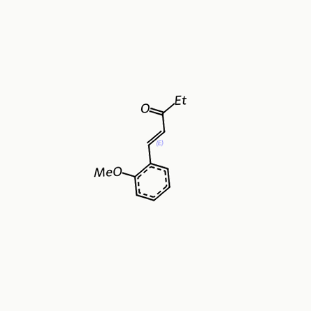 CCC(=O)/C=C/c1ccccc1OC